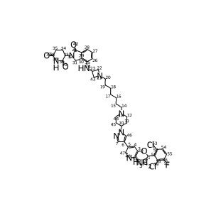 C[C@@H](Oc1cc(-c2cnn(C3CCN(CCCCCCCN4CC(Nc5cccc6c5CN(C5CCC(=O)NC5=O)C6=O)C4)CC3)c2)cnc1N)c1c(Cl)ccc(F)c1Cl